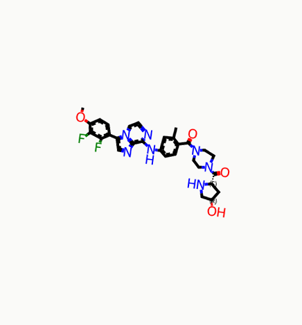 COc1ccc(-c2cnc3c(Nc4ccc(C(=O)N5CCN(C(=O)[C@@H]6C[C@@H](O)CN6)CC5)c(C)c4)nccn23)c(F)c1F